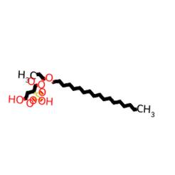 CCCCCCCCCCCCCCCCCCOC(CC)OC(=O)C(CC(=O)O)S(=O)(=O)O